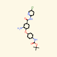 CC(C)(C)OC(=O)Nc1ccc(Oc2ccc(C(=O)Nc3ccc(Cl)cn3)cc2N)cc1